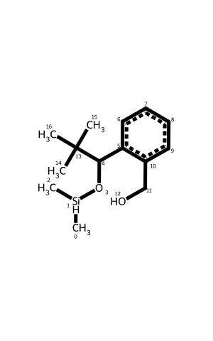 C[SiH](C)OC(c1ccccc1CO)C(C)(C)C